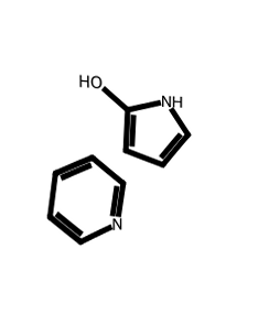 Oc1ccc[nH]1.c1ccncc1